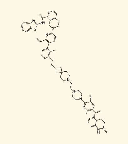 C=Cc1nc(N2CCc3cccc(C(=C)Nc4nc5ccccc5s4)c3C2)ccc1-c1cccc(CCC2CC3(CCN(CCN4CCN(c5cc(C)c(C(=C)N(C=C)C6CCC(=C)NC6=C)cc5F)CC4)CC3)C2)c1C